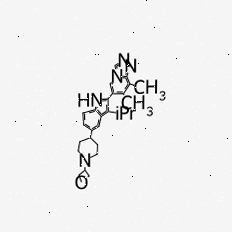 Cc1c(-c2[nH]c3ccc(C4CCN(C5COC5)CC4)cc3c2C(C)C)cn2cnnc2c1C